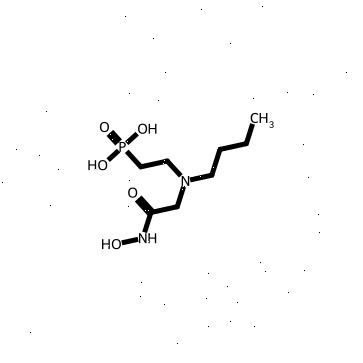 CCCCN(CCP(=O)(O)O)CC(=O)NO